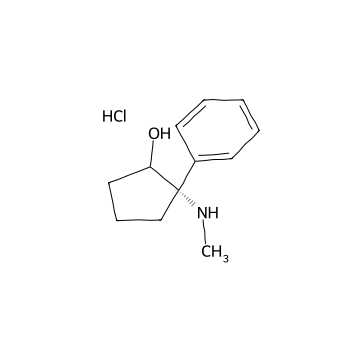 CN[C@]1(c2ccccc2)CCCC1O.Cl